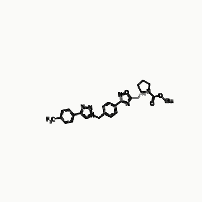 CC(C)(C)OC(=O)N1CCC[C@H]1Cc1nc(-c2ccc(Cn3cc(-c4ccc(C(F)(F)F)cc4)nn3)cc2)no1